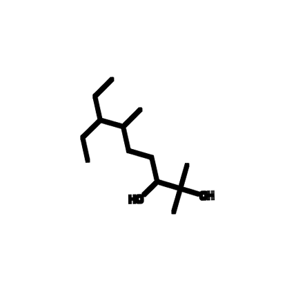 CCC(CC)C(C)CCC(O)C(C)(C)O